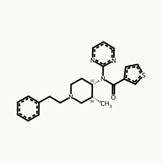 C[C@@H]1CN(CCc2ccccc2)CC[C@@H]1N(C(=O)c1ccsc1)c1ncccn1